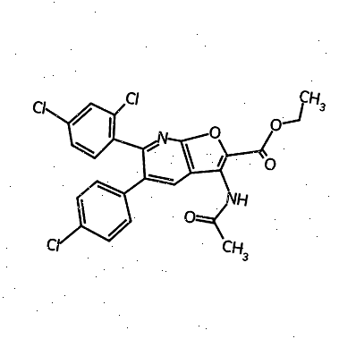 CCOC(=O)c1oc2nc(-c3ccc(Cl)cc3Cl)c(-c3ccc(Cl)cc3)cc2c1NC(C)=O